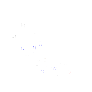 CCC(CC)c1cc(C)nn2c(-c3sc(N4CCOCC4)nc3C)c(C)nc12